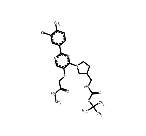 CNC(=O)COc1cnc(-c2ccc(C)c(Cl)c2)nc1N1CCC(CNC(=O)OC(C)(C)C)C1